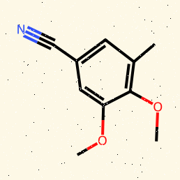 COc1cc(C#N)cc(C)c1OC